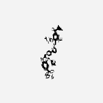 COC(=O)c1ccc2nc(CN3CCC(c4cccc(OCc5c(F)cc(C(=O)C6CC6)cc5OC)n4)CC3)n(C[C@@H]3CCO3)c2c1